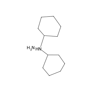 C1CCC(NC2CCCCC2)CC1.N